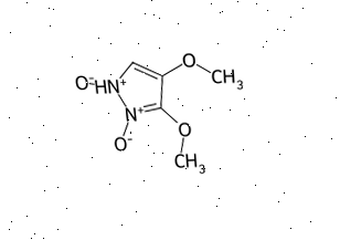 COC1=C[NH+]([O-])[N+]([O-])=C1OC